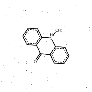 C[SH]1c2ccccc2C(=O)c2ccccc21